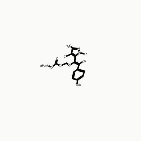 CCCCCOC(=O)OCO/C(=C(/C#N)c1ccc(C(C)(C)C)cc1)c1c(Cl)c(C)nn1CC